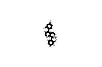 [O-][n+]1ccc2c(-c3ccc(F)cc3F)ccnc2c1-c1ccccc1F